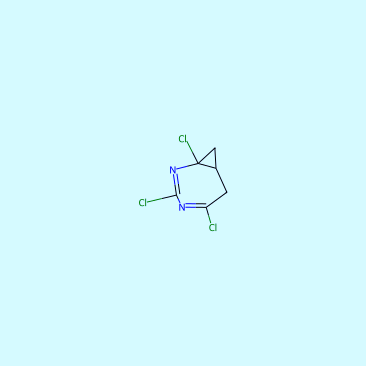 ClC1=NC(Cl)=NC2(Cl)CC2C1